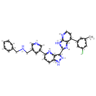 Cc1cc(F)cc(-c2ccnc3[nH]c(-c4n[nH]c5ccc(-c6cncc(CNCc7ccccc7)c6)nc45)nc23)c1